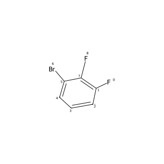 Fc1[c]ccc(Br)c1F